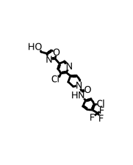 O=C(Nc1ccc(C(F)(F)F)c(Cl)c1)N1CC=C(c2ncc(-c3nc(CO)co3)cc2Cl)CC1